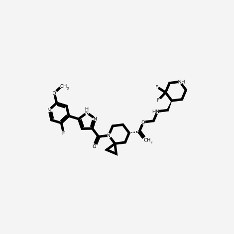 C=C(OCNC[C@@H]1CCNCC1(F)F)[C@H]1CCN(C(=O)c2cc(-c3cc(OC)ncc3F)[nH]n2)C2(CC2)C1